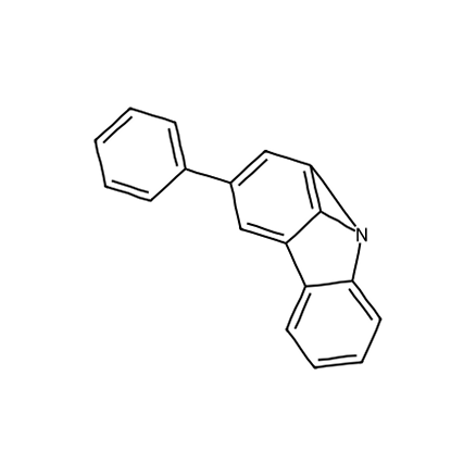 c1ccc(-c2cc3c4c(c2)c2ccccc2n4-3)cc1